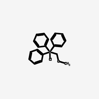 COCP(Cl)(c1ccccc1)(c1ccccc1)c1ccccc1